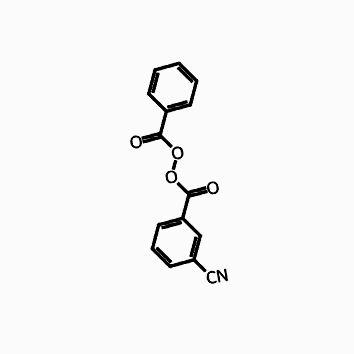 N#Cc1cccc(C(=O)OOC(=O)c2ccccc2)c1